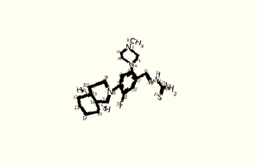 CN1CCN(c2cc(N3CC[C@@H]4CCCC[C@@H]4C3)c(F)cc2C=NNC(N)=S)CC1